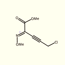 CO/N=C(\C#CCCl)C(=O)OC